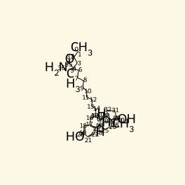 CCCCC(C)(CCCCCCCCC[C@@H]1Cc2cc(O)ccc2[C@H]2CC[C@]3(C)[C@@H](O)CC[C@H]3[C@H]12)C(N)=O